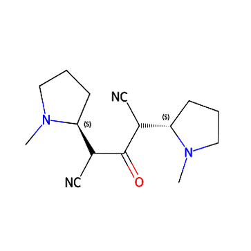 CN1CCC[C@H]1C(C#N)C(=O)C(C#N)[C@@H]1CCCN1C